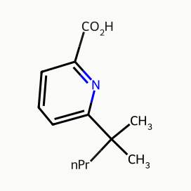 CCCC(C)(C)c1cccc(C(=O)O)n1